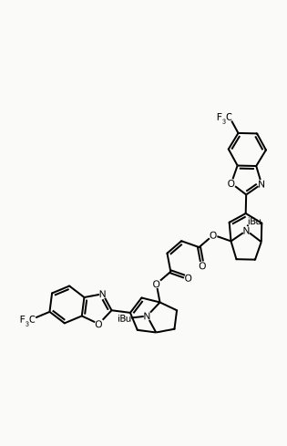 CCC(C)N1C2CCC1(OC(=O)/C=C\C(=O)OC13C=C(c4nc5ccc(C(F)(F)F)cc5o4)CC(CC1)N3C(C)CC)C=C(c1nc3ccc(C(F)(F)F)cc3o1)C2